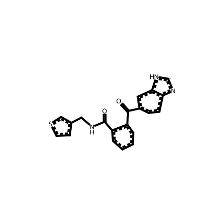 O=C(NCc1ccsc1)c1ccccc1C(=O)c1ccc2n[c][nH]c2c1